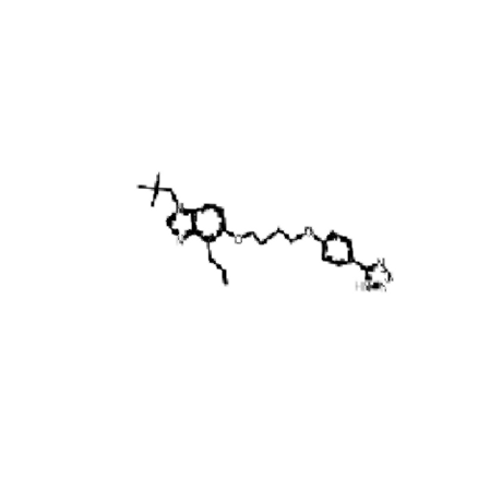 CCCc1c(OCCCCOc2ccc(-c3nnn[nH]3)cc2)ccc2c1ncn2CC(C)(C)C